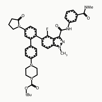 CNC(=O)c1cccc(NC(=O)c2nn(C)c3ccc(-c4ccc(N5CCCC5=O)cc4-c4ccc(N5CCN(C(=O)OC(C)(C)C)CC5)cc4)c(F)c23)c1